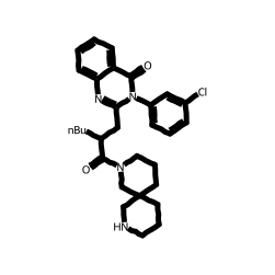 CCCCC(Cc1nc2ccccc2c(=O)n1-c1cccc(Cl)c1)C(=O)N1CCCC2(CCCNC2)C1